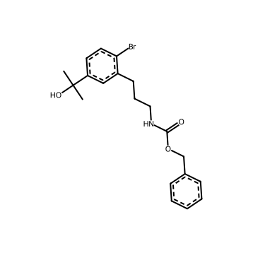 CC(C)(O)c1ccc(Br)c(CCCNC(=O)OCc2ccccc2)c1